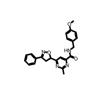 COc1ccc(CNC(=O)c2cc(C3CC(c4ccccc4)=NO3)nc(C)n2)cc1